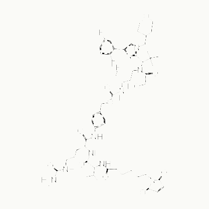 CC(C)[C@H](NC(=O)CCCCCN1C(=O)C=CC1=O)C(=O)N[C@@H](CCCNC(N)=O)C(=O)Nc1ccc(COC(=O)N[C@H](CF)CCN(C(=O)[C@H](C)O)[C@@H](c2nc(-c3cc(F)ccc3F)cn2CC2CCOCC2)C(C)(C)C)cc1